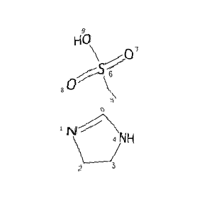 C1=NCCN1.CS(=O)(=O)O